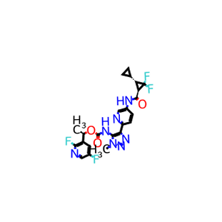 C[C@@H](OC(=O)Nc1c(-c2ccc(NC(=O)[C@H]3[C@H](C4CC4)C3(F)F)cn2)nnn1C)c1cc(F)cnc1F